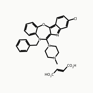 CN1CCN(C2=C3N=c4cc(Cl)ccc4=C3Oc3ccccc3N2Cc2ccccc2)CC1.O=C(O)C=CC(=O)O